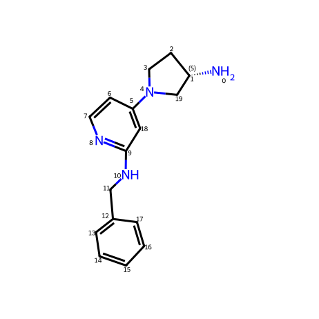 N[C@H]1CCN(c2ccnc(NCc3ccccc3)c2)C1